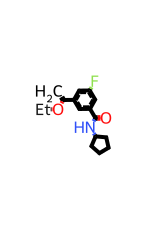 C=C(OCC)c1cc(F)cc(C(=O)NC2CCCC2)c1